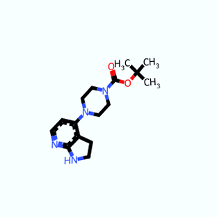 CC(C)(C)OC(=O)N1CCN(c2ccnc3c2CCN3)CC1